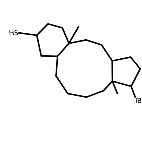 CCC(C)C1CCC2CCC3(C)CCC(S)CC3CCCCC21C